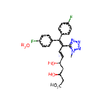 Cn1nnnc1C(/C=C/C(O)CC(O)CC(=O)O)=C(c1ccc(F)cc1)c1ccc(F)cc1.O